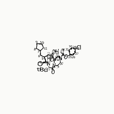 CC(C)(C)[C@H](NC(=O)C(CC1CCCC1)CN(O)C=O)C(=O)N1CCN(C(=O)Oc2ccc(Cl)cc2)CC1